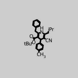 Cc1ccc(C2C(C#N)=C(CC(C)C)NC(Cc3ccccc3)=C2C(=O)OC(C)(C)C)cc1